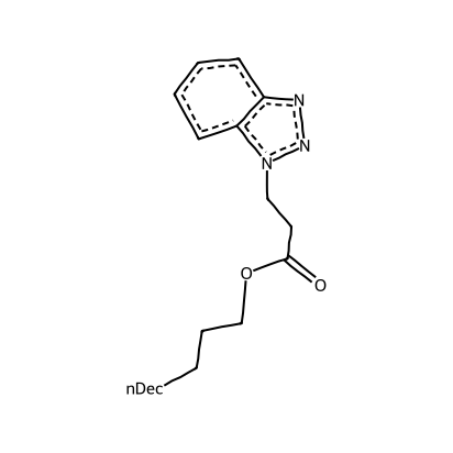 CCCCCCCCCCCCCOC(=O)CCn1nnc2ccccc21